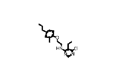 CCCc1ccc(OCCNc2ncnc(Cl)c2CC)c(C)c1